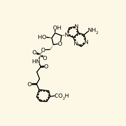 Nc1ncnc2c1ncn2[C@@H]1O[C@H](COS(=O)(=O)NC(=O)CCC(=O)c2cccc(C(=O)O)c2)[C@@H](O)[C@H]1O